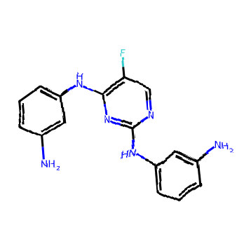 Nc1cccc(Nc2ncc(F)c(Nc3cccc(N)c3)n2)c1